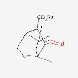 CCOC(=O)C1C(=O)C2(C)CCC1C2(C)C